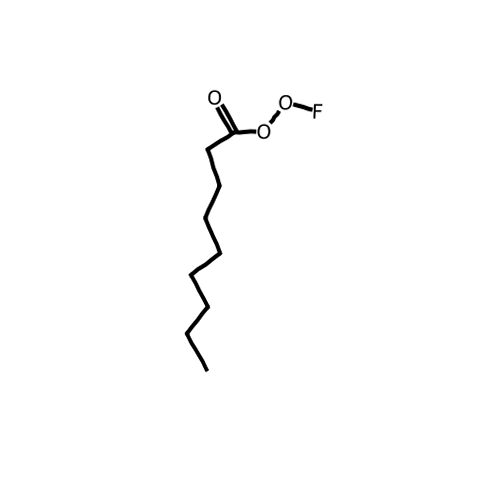 CCCCCCCCC(=O)OOF